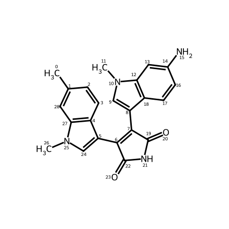 Cc1ccc2c(C3=C(c4cn(C)c5cc(N)ccc45)C(=O)NC3=O)cn(C)c2c1